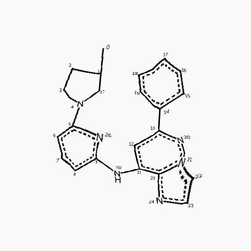 CC1CCN(c2cccc(Nc3cc(-c4ccccc4)nn4ccnc34)n2)C1